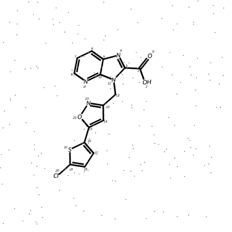 O=C(O)c1nc2cccnc2n1Cc1cc(-c2ccc(Cl)s2)on1